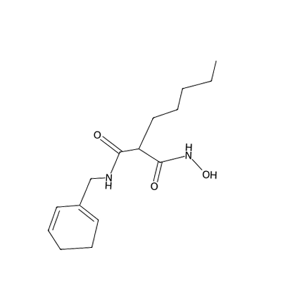 CCCCCC(C(=O)NO)C(=O)NCC1=CCCC=C1